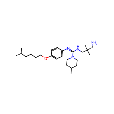 CC(C)CCCCOc1ccc(/N=C(/NCC(C)(C)CN)N2CCC(C)CC2)cc1